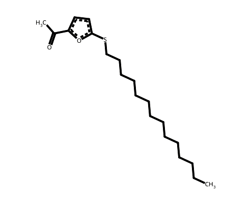 CCCCCCCCCCCCCCSc1ccc(C(C)=O)o1